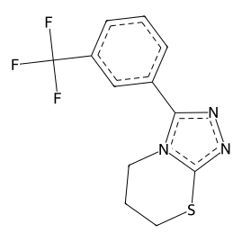 FC(F)(F)c1cccc(-c2nnc3n2CCCS3)c1